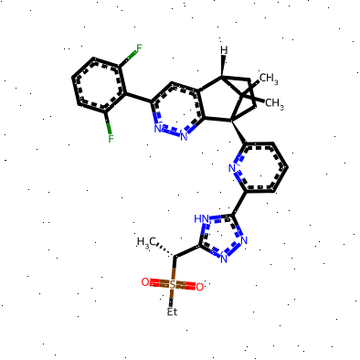 CCS(=O)(=O)[C@H](C)c1nnc(-c2cccc([C@@]34CC[C@@H](c5cc(-c6c(F)cccc6F)nnc53)C4(C)C)n2)[nH]1